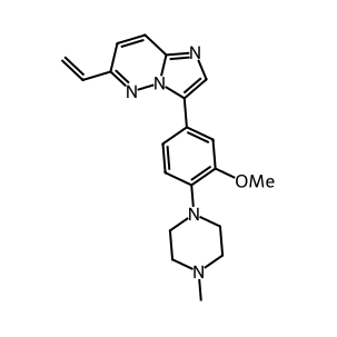 C=Cc1ccc2ncc(-c3ccc(N4CCN(C)CC4)c(OC)c3)n2n1